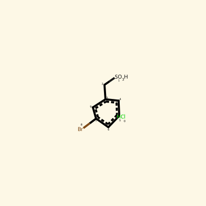 Cl.O=S(=O)(O)Cc1cccc(Br)c1